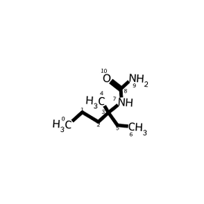 CCCC(C)(CC)NC(N)=O